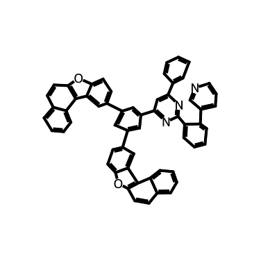 c1ccc(-c2cc(-c3cc(-c4ccc5oc6ccc7ccccc7c6c5c4)cc(-c4ccc5oc6ccc7ccccc7c6c5c4)c3)nc(-c3ccccc3-c3cccnc3)n2)cc1